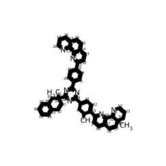 CC1CC(c2nc(-c3ccc(-c4ccc5ccc6cccnc6c5n4)cc3)nc(C3(C)C=Cc4ccccc4C3)n2)=CC=C1c1ccc2c(n1)C1=NC=CCC1(C)C=C2